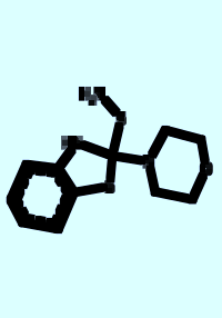 NSC1(N2CCOCC2)Nc2ccccc2S1